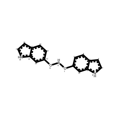 B(Oc1ccc2cc[nH]c2c1)Oc1ccc2cc[nH]c2c1